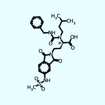 CC(C)CCN(C(=O)NCc1ccccc1)[C@H](CCN1C(=O)c2ccc(NS(C)(=O)=O)cc2C1=O)C(=O)O